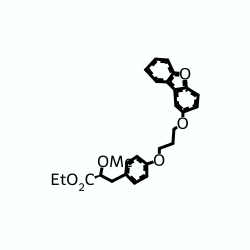 CCOC(=O)[C@H](Cc1ccc(OCCCOc2ccc3oc4ccccc4c3c2)cc1)OC